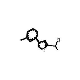 Cc1cccc(-c2cc(C(C)Cl)on2)c1